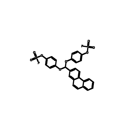 O=S(=O)(F)Oc1ccc(OC(Oc2ccc(OS(=O)(=O)F)cc2)c2ccc3c(ccc4ccccc43)c2)cc1